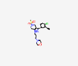 C#Cc1cc(-c2nn(CCCN3CCOCC3)c3c2CN(S(C)(=O)=O)CC3)ccc1Cl